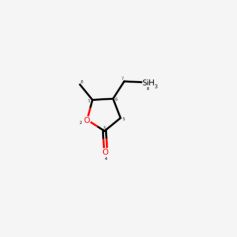 CC1OC(=O)CC1C[SiH3]